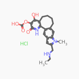 CCNCc1cc2cc3c(cc2n1C)CCCCc1c-3[nH]c(=O)c(OC(=O)O)c1O.Cl